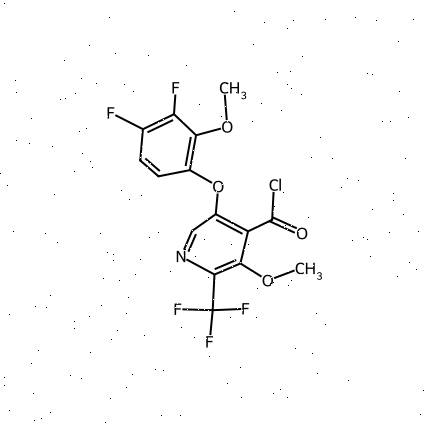 COc1c(Oc2cnc(C(F)(F)F)c(OC)c2C(=O)Cl)ccc(F)c1F